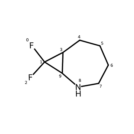 FC1(F)C2CCCCNC21